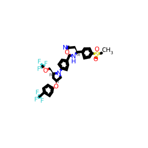 CCS(=O)(=O)c1ccc([C@H](CC#N)NC(=O)c2ccc(N3C[C@H](Oc4ccc(C(F)(F)F)cc4)C[C@H]3COC(F)(F)F)cc2)cc1